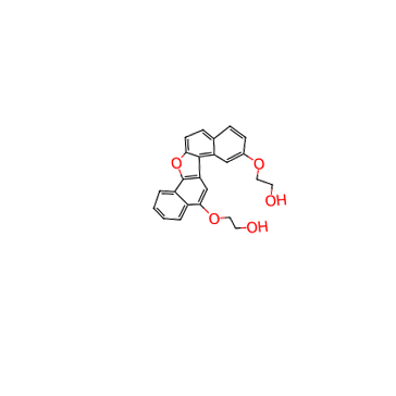 OCCOc1ccc2ccc3oc4c5ccccc5c(OCCO)cc4c3c2c1